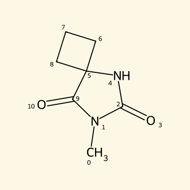 CN1C(=O)NC2(CCC2)C1=O